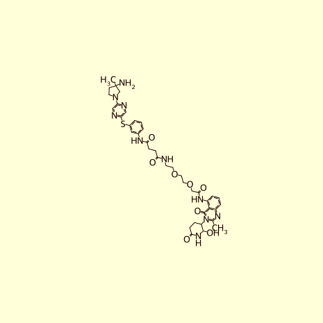 Cc1nc2cccc(NC(=O)COCCOCCNC(=O)CCC(=O)Nc3cccc(Sc4cnc(N5CCC(C)(N)C5)cn4)c3)c2c(=O)n1C1CCC(=O)NC1O